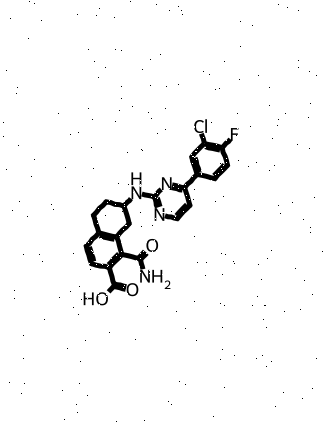 NC(=O)c1c(C(=O)O)ccc2c1CC(Nc1nccc(-c3ccc(F)c(Cl)c3)n1)CC2